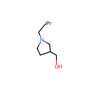 C[C](C)CN1CCC(CO)C1